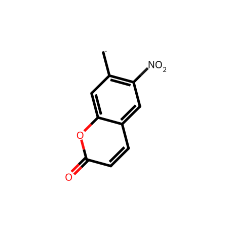 [CH2]c1cc2oc(=O)ccc2cc1[N+](=O)[O-]